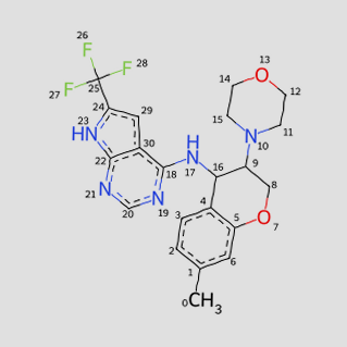 Cc1ccc2c(c1)OCC(N1CCOCC1)C2Nc1ncnc2[nH]c(C(F)(F)F)cc12